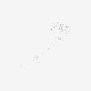 Cc1cccc(OCC(=O)NCCOCCOCCOCCNC(=O)CCCC(=O)O)c1C(=O)N(C=O)C1CCC(=O)NC1=O